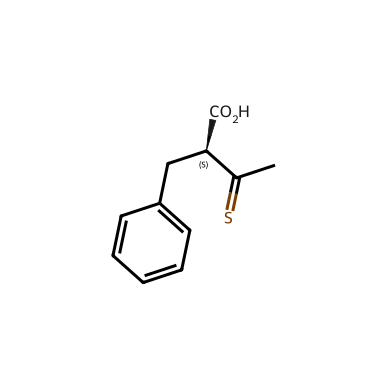 CC(=S)[C@@H](Cc1ccccc1)C(=O)O